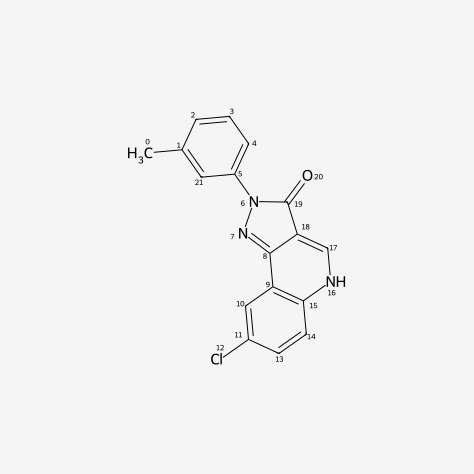 Cc1cccc(-n2nc3c4cc(Cl)ccc4[nH]cc-3c2=O)c1